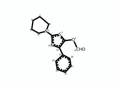 O=COc1sc(N2CCCCC2)nc1-c1ccccc1